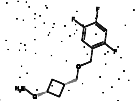 Fc1cc(F)c(COC[C@H]2C[C@@H](O[SiH3])C2)cc1F